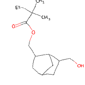 CCC(C)(C)C(=O)OCC1CC2CC(CO)C1C2